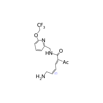 CC(=O)C(=C/C=C\CN)C(=O)NCc1cccc(OCC(F)(F)F)n1